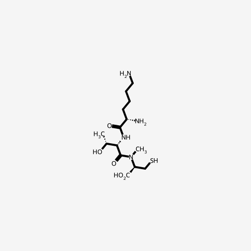 C[C@@H](O)[C@H](NC(=O)[C@@H](N)CCCCN)C(=O)N(C)[C@@H](CS)C(=O)O